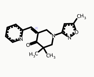 Cc1cc(N2C/C(=C/c3ccccn3)C(=O)C(C)(C)C2)no1